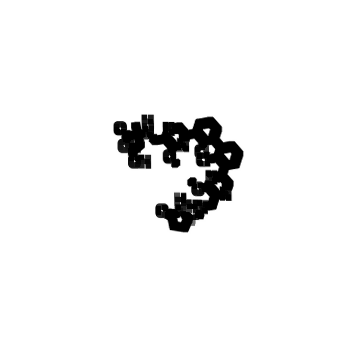 COc1nc(-c2cccc(-c3cccc(-c4cnc(CNC(C)(CCO)C(=O)O)c(OC)n4)c3Cl)c2Cl)cnc1CNC[C@@H]1CCC(=O)N1